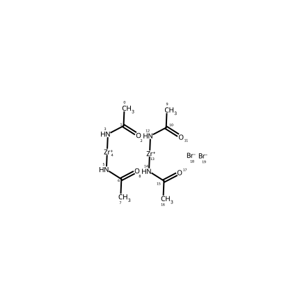 CC(=O)[NH][Zr+][NH]C(C)=O.CC(=O)[NH][Zr+][NH]C(C)=O.[Br-].[Br-]